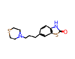 O=c1[nH]c2ccc(CCCN3CCSCC3)cc2s1